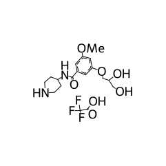 COc1cc(OCC(O)CO)cc(C(=O)NC2CCNCC2)c1.O=C(O)C(F)(F)F